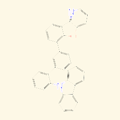 c1cc(-c2ccccc2-n2c3ccccc3c3ccccc32)cc(-c2cccc3c2oc2cccnc23)c1